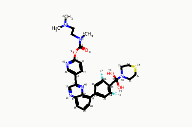 CN(C)CCN(C)C(=O)Oc1ccc(-c2cnc3cccc(-c4cc(F)c(C(O)(O)N5CCSCC5)c(F)c4)c3n2)cn1